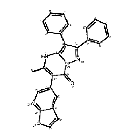 Cc1[nH]c2c(-c3ccccc3)c(-c3ccccc3)nn2c(=O)c1-c1cnc2occc2c1